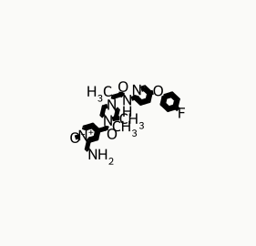 C[C@H](C(=O)Nc1ccc(Oc2ccc(F)cc2)cn1)N1CCN(C(=O)c2cc[n+]([O-])c(CN)c2)C(C)(C)C1